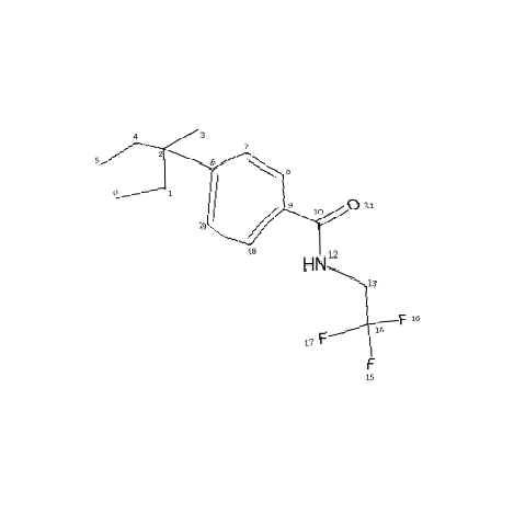 CCC(C)(CC)c1ccc(C(=O)NCC(F)(F)F)cc1